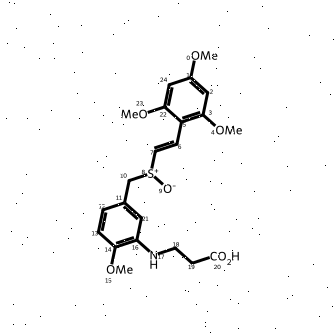 COc1cc(OC)c(/C=C/[S+]([O-])Cc2ccc(OC)c(NCCC(=O)O)c2)c(OC)c1